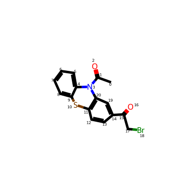 CC(=O)N1c2ccccc2Sc2ccc(C(=O)CBr)cc21